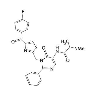 CNC(C)C(=O)Nc1cnc(-c2ccccc2)n(Cc2nc(C(=O)c3ccc(F)cc3)cs2)c1=O